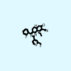 CCC[C@@]12C=C(C#N)C(=O)C[C@H]1CCc1c(-c3ccccc3F)nc(-c3ccnc(CF)c3)nc12